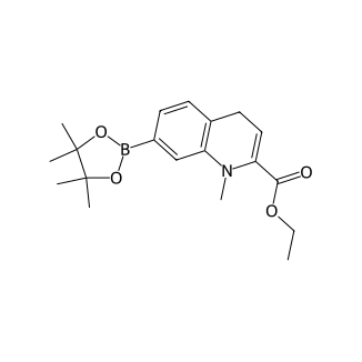 CCOC(=O)C1=CCc2ccc(B3OC(C)(C)C(C)(C)O3)cc2N1C